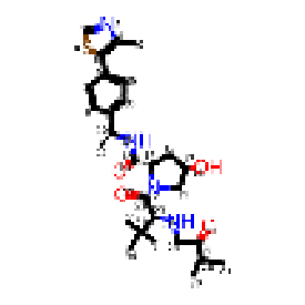 Cc1ncsc1-c1ccc([C@H](C)NC(=O)[C@@H]2C[C@@H](O)CN2C(=O)[C@@H](NCC(=O)C(C)C)C(C)(C)C)cc1